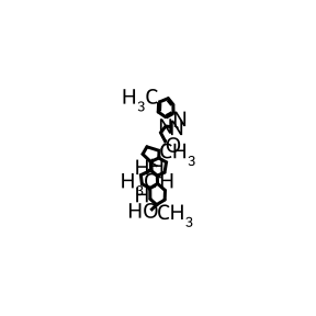 Cc1ccc2nnn(CC(=O)[C@H]3CC[C@H]4[C@@H]5CC[C@H]6C[C@](C)(O)CC[C@]6(C)[C@H]5CC[C@]34C)c2c1